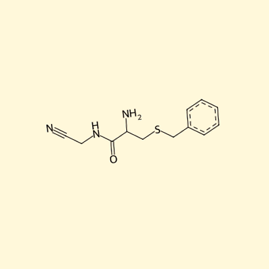 N#CCNC(=O)C(N)CSCc1ccccc1